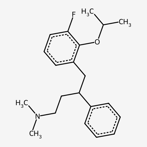 CC(C)Oc1c(F)cccc1CC(CCN(C)C)c1ccccc1